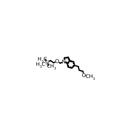 COCCCc1ccc2c(ccn2COCC[Si](C)(C)C)c1